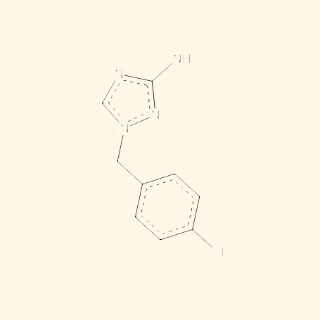 Nc1ncn(Cc2ccc(Cl)cc2)n1